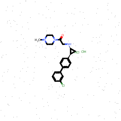 CN1CCN(C(=O)CN[C@@H]2C[C@H]2c2ccc(-c3cccc(Cl)c3)cc2)CC1.Cl.Cl